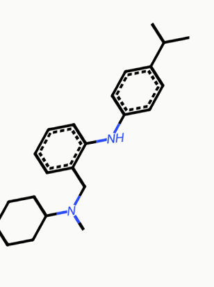 CC(C)c1ccc(Nc2ccccc2CN(C)C2CCCCC2)cc1